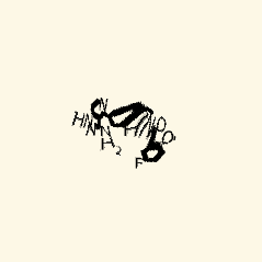 COc1ccc(F)cc1C(=O)NCc1ccc(-c2nccc3[nH]nc(N)c23)cc1